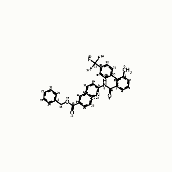 Cc1cccc(C(=O)Nc2ccc3cc(C(=O)OCc4ccccc4)ccc3n2)c1-c1ccc(C(F)(F)F)cc1